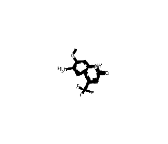 COc1cc2[nH]c(=O)cc(C(F)(F)F)c2cc1N